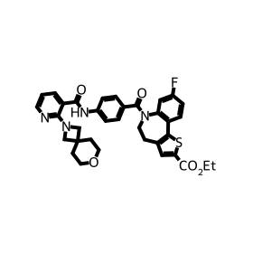 CCOC(=O)c1cc2c(s1)-c1ccc(F)cc1N(C(=O)c1ccc(NC(=O)c3cccnc3N3CC4(CCOCC4)C3)cc1)CC2